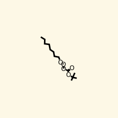 CCCCCCCCOOOC(=O)OC(C)(C)C